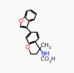 CC1(NC(=O)O)CCOc2cc(-c3coc4ccccc34)ccc21